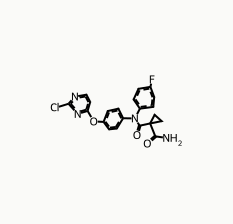 NC(=O)C1(C(=O)N(c2ccc(F)cc2)c2ccc(Oc3ccnc(Cl)n3)cc2)CC1